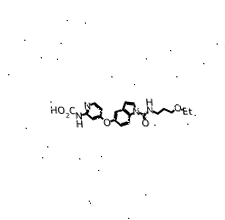 CCOCCCNC(=O)n1ccc2cc(Oc3ccnc(NC(=O)O)c3)ccc21